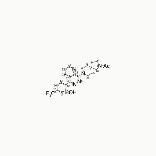 CC(=O)N1CCC2(CCN(c3nnc(-c4ccc(C(F)(F)F)cc4O)c4cccnc34)CC2)C1